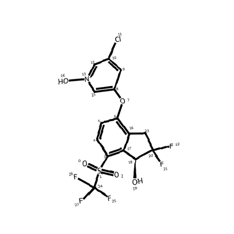 O=S(=O)(c1ccc(Oc2cc(Cl)c[n+](O)c2)c2c1[C@H](O)C(F)(F)C2)C(F)(F)F